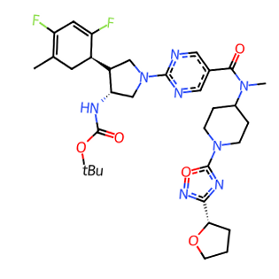 CC1=C(F)C=C(F)[C@@H](C2CN(c3ncc(C(=O)N(C)C4CCN(c5nc([C@@H]6CCCO6)no5)CC4)cn3)C[C@@H]2NC(=O)OC(C)(C)C)C1